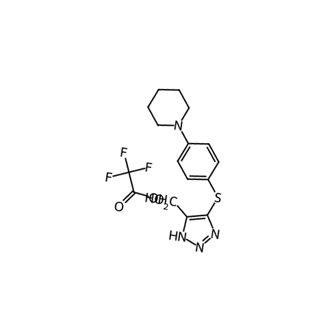 O=C(O)C(F)(F)F.O=C(O)c1[nH]nnc1Sc1ccc(N2CCCCC2)cc1